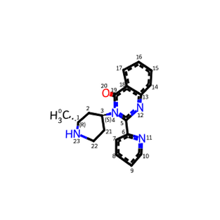 C[C@@H]1C[C@@H](n2c(-c3ccccn3)nc3ccccc3c2=O)CCN1